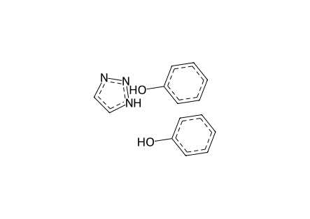 Oc1ccccc1.Oc1ccccc1.c1c[nH]nn1